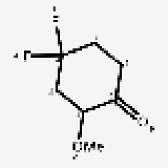 COC1CC(F)(F)CCC1=O